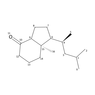 CC(C)C[C@H](C)C1CCC2C(=O)CCC[C@@]21C